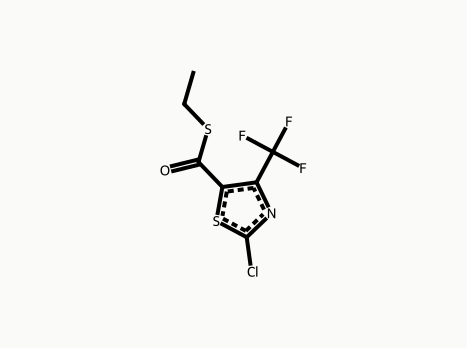 CCSC(=O)c1sc(Cl)nc1C(F)(F)F